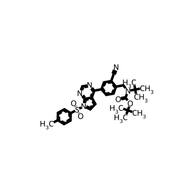 Cc1ccc(S(=O)(=O)n2ccc3c(-c4ccc(CN(C(=O)OC(C)(C)C)C(C)(C)C)c(C#N)c4)ncnc32)cc1